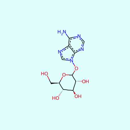 Nc1ncnc2c1ncn2OC1O[C@H](CO)[C@@H](O)[C@H](O)[C@H]1O